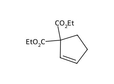 CCOC(=O)C1(C(=O)OCC)C=CCC1